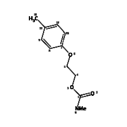 CNC(=O)OCCOc1ccc(C)cc1